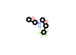 Fc1c(F)c(F)c(-c2ccc3oc4cccc(Nc5ccc6c(c5)oc5ccccc56)c4c3c2)c(F)c1F